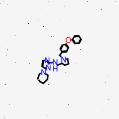 c1ccc(Oc2ccc(CN3CCCC3CNc3nccc(N4CCCCCC4)n3)cc2)cc1